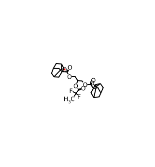 CC(F)(F)C(=O)OC(COC(=O)C12CC3CC(C1)C(=O)C(C3)C2)COC(=O)C12CC3CC(C1)C(=O)C(C3)C2